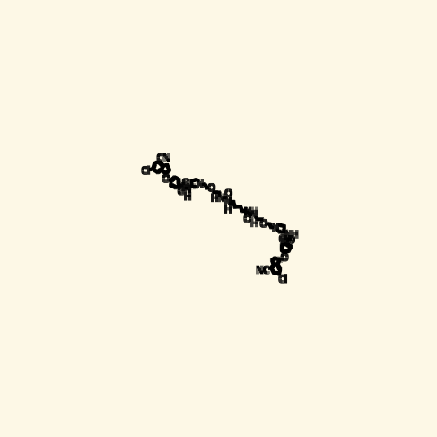 N#Cc1cc(Cl)cc2c1CC[C@H]2Oc1ccc(S(=O)(=O)N[C@@H]2CCN(CCOCCNC(=O)NCCCCNC(=O)NCCOCCN3CC[C@@H](NS(=O)(=O)c4ccc(O[C@@H]5CCc6c(C#N)cc(Cl)cc65)cc4)C3)C2)cc1